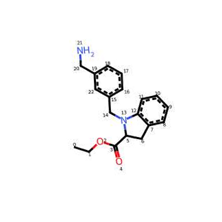 CCOC(=O)C1Cc2ccccc2N1Cc1cccc(CN)c1